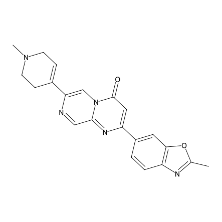 Cc1nc2ccc(-c3cc(=O)n4cc(C5=CCN(C)CC5)ncc4n3)cc2o1